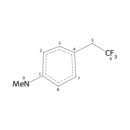 CNc1ccc(CC(F)(F)F)cc1